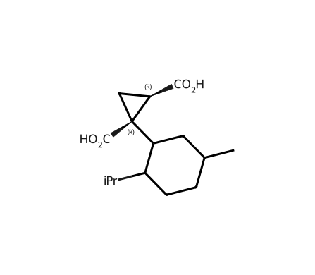 CC1CCC(C(C)C)C([C@]2(C(=O)O)C[C@H]2C(=O)O)C1